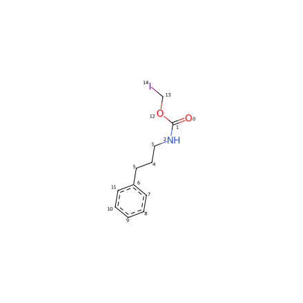 O=C(NCCCc1ccccc1)OCI